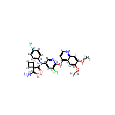 COc1cc2nccc(Oc3ncc(N(C(=O)C4(C(N)=O)CCC4)c4ccc(F)cc4)cc3Cl)c2cc1OC